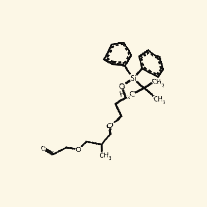 CC(COCC=O)COCCCO[Si](c1ccccc1)(c1ccccc1)C(C)(C)C